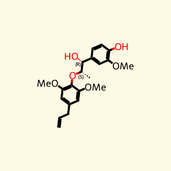 C=CCc1cc(OC)c(O[C@@H](C)[C@H](O)c2ccc(O)c(OC)c2)c(OC)c1